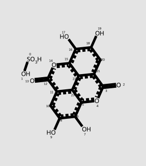 O=S(=O)(O)O.O=c1oc2c(O)c(O)cc3c(=O)oc4c(O)c(O)cc1c4c23